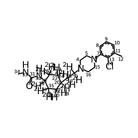 [2H]C([2H])(N1CCN(c2cccc(C)c2Cl)CC1)C([2H])([2H])[C@]1([2H])C([2H])([2H])C([2H])([2H])[C@@]([2H])(NC(=O)NC)C([2H])([2H])C1([2H])[2H]